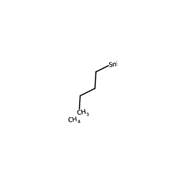 C.CCC[CH2][Sn]